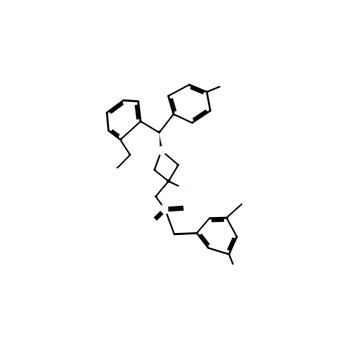 O=S(=O)(Cc1cc(F)cc(F)c1)CC1(O)CN([C@H](c2ccc(Cl)cc2)c2ccccc2CCl)C1